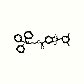 Cc1cc(C)cc(-c2nc3ccc(C(=O)OCCC[PH](c4ccccc4)(c4ccccc4)c4ccccc4)cc3o2)c1